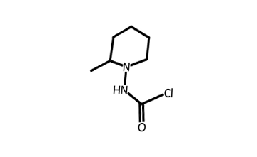 CC1CCCCN1NC(=O)Cl